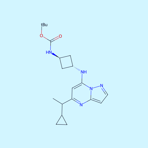 CC(c1cc(N[C@H]2C[C@H](NC(=O)OC(C)(C)C)C2)n2nccc2n1)C1CC1